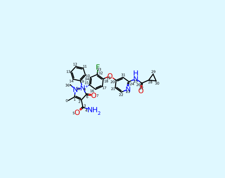 CC1=C(C(N)=O)C(=O)[N+](c2ccccc2)(c2ccc(Oc3ccnc(NC(=O)C4CC4)c3)c(F)c2)N1C